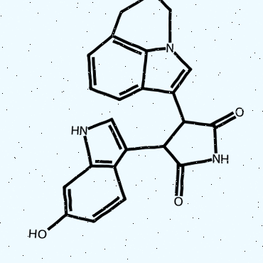 O=C1NC(=O)C(c2cn3c4c(cccc24)CCC3)C1c1c[nH]c2cc(O)ccc12